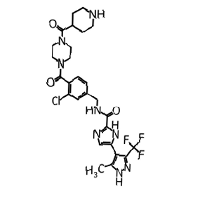 Cc1[nH]nc(C(F)(F)F)c1-c1cnc(C(=O)NCc2ccc(C(=O)N3CCN(C(=O)C4CCNCC4)CC3)c(Cl)c2)[nH]1